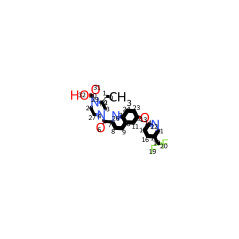 CC[C@@H]1CN(C(=O)c2ccc3cc(Oc4ccc(C(F)F)cn4)ccc3n2)CCN1C(=O)O